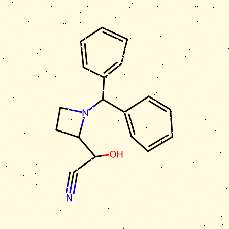 N#CC(O)C1CCN1C(c1ccccc1)c1ccccc1